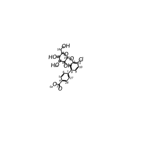 COC(=O)c1ccc(-c2ccc(Cl)c(O[C@H]3O[C@H](CO)[C@@H](O)[C@H](O)[C@@H]3O)c2)cc1